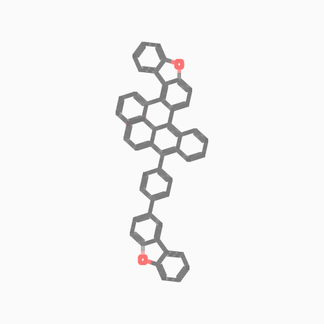 C1=CCC2C(=C1)C(c1ccc(-c3ccc4oc5ccccc5c4c3)cc1)=c1ccccc1=C2c1ccc2oc3ccccc3c2c1-c1ccccc1